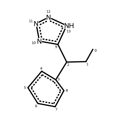 CCC(c1ccccc1)c1nnn[nH]1